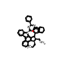 C=CC1=C(/C=C\C)c2c(c3c(c4ccccc24)c2ccccc2n3-c2nc(-c3ccccc3)nc(-c3ccccc3)n2)C1c1ccccc1